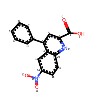 O=C(O)c1cc(-c2ccccc2)c2cc([N+](=O)[O-])ccc2n1